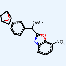 C1CC2CC1O2.COC(c1ccccc1)c1nc2cccc([N+](=O)[O-])c2o1